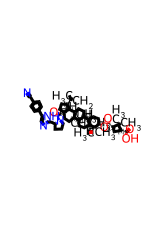 C=C(C)[C@@H]1CC[C@]2(C(=O)N3CCCC3c3ncc(-c4ccc(C#N)cc4)[nH]3)CC[C@]3(C)[C@H](CC[C@@H]4[C@@]5(C)CC[C@H](OC(=O)[C@H]6C[C@@H](C(=O)O)C6(C)C)C(C)(C)[C@@H]5CC[C@]43C)[C@@H]12